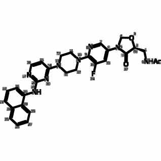 CC(=O)NC[C@@H]1OCN(c2cnc(N3CCN(c4ccnc(Nc5cccc6ccccc56)n4)CC3)c(F)c2)C1=O